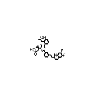 CCC(S[C@H](CCc1ccccc1CC(C)O)c1cccc(C=Cc2ccc3cc(F)c(F)cc3n2)c1)C1(CC(=O)O)CC1